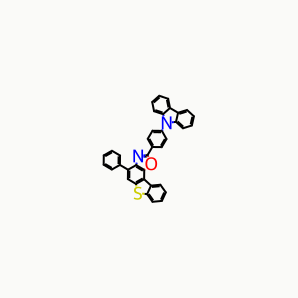 c1ccc(-c2cc3sc4ccccc4c3c3oc(-c4ccc(-n5c6ccccc6c6ccccc65)cc4)nc23)cc1